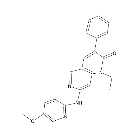 CCn1c(=O)c(-c2ccccc2)cc2cnc(Nc3ccc(OC)cn3)cc21